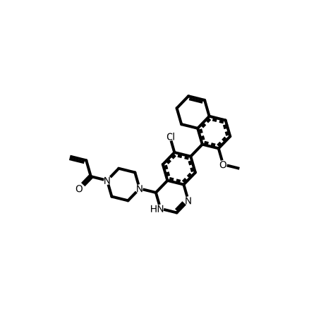 C=CC(=O)N1CCN(C2NC=Nc3cc(-c4c(OC)ccc5c4CCC=C5)c(Cl)cc32)CC1